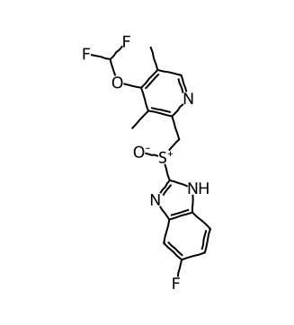 Cc1cnc(C[S+]([O-])c2nc3cc(F)ccc3[nH]2)c(C)c1OC(F)F